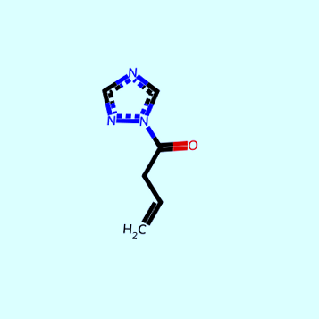 C=CCC(=O)n1cncn1